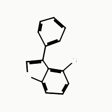 O=[N+]([O-])c1cccc2occ(-c3ccccc3)c12